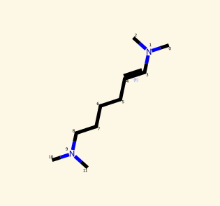 CN(C)/C=C/CCCCN(C)C